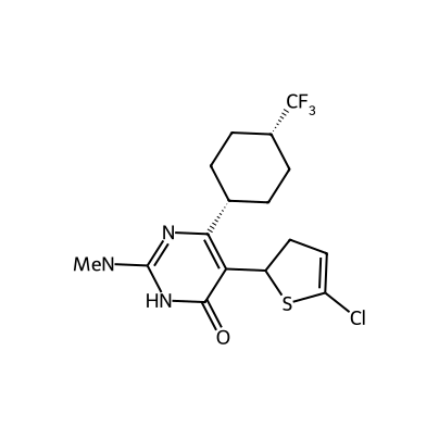 CNc1nc([C@H]2CC[C@@H](C(F)(F)F)CC2)c(C2CC=C(Cl)S2)c(=O)[nH]1